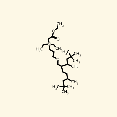 CCOC(=O)C[Si](CC)(CC)CCCOCC(CCC(C)CC(C)(C)C)C(C)CC(C)(C)C